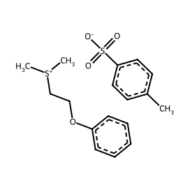 C[S+](C)CCOc1ccccc1.Cc1ccc(S(=O)(=O)[O-])cc1